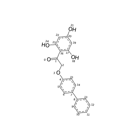 O=C(COc1ccc(-c2ccccc2)cc1)c1c(O)cc(O)cc1O